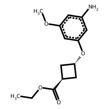 CCOC(=O)[C@H]1C[C@H](Oc2cc(N)cc(OC)c2)C1